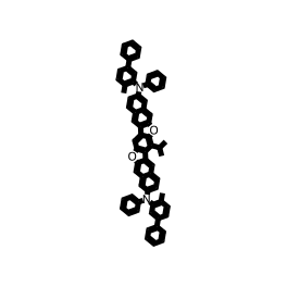 Cc1ccc(-c2ccccc2)cc1N(c1ccccc1)c1ccc2cc3c(cc2c1)oc1c(C(C)C)c2c(cc13)oc1cc3cc(N(c4ccccc4)c4cc(-c5ccccc5)ccc4C)ccc3cc12